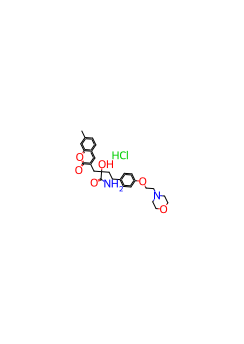 Cc1ccc2cc(CC(O)(CCc3ccc(OCCN4CCOCC4)cc3)C(N)=O)c(=O)oc2c1.Cl